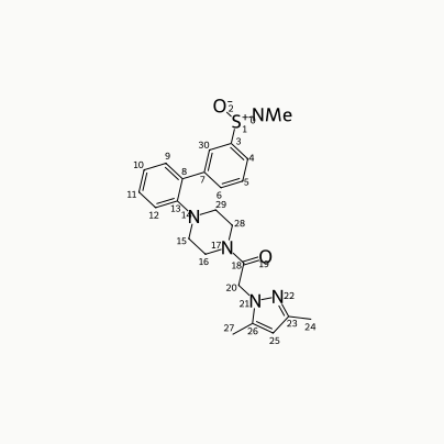 CN[S+]([O-])c1cccc(-c2ccccc2N2CCN(C(=O)Cn3nc(C)cc3C)CC2)c1